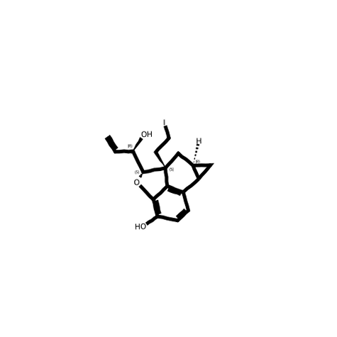 C=C[C@@H](O)[C@H]1Oc2c(O)ccc3c2[C@@]1(CCI)C[C@H]1CC31